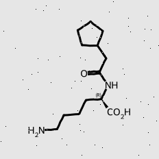 NCCCC[C@@H](NC(=O)CC1CCCC1)C(=O)O